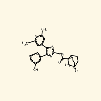 Cc1cc(-c2sc(NC(=O)N3C[C@H]4CCC3CN4)nc2-c2cccc(C#N)c2)cc(C)n1